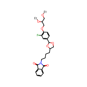 CCOCC(COc1ccc(C2OCC(CCCCN3C(=O)c4ccccc4C3=O)O2)cc1F)OCC